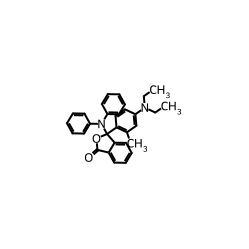 CCN(CC)c1ccc(C2(N(c3ccccc3)c3ccccc3)OC(=O)c3ccccc32)c(C)c1